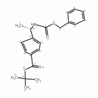 C[C@H](NC(=O)OCc1ccccc1)c1ccc(C(=O)OC(C)(C)C)cc1